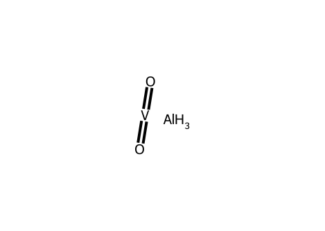 [AlH3].[O]=[V]=[O]